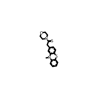 CN1c2ccccc2Sc2ccc(CC(=S)N3CCOCC3)cc21